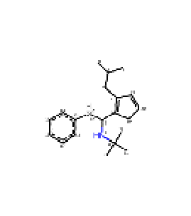 CC(C)CC1=C(C(NC(C)(C)C)[SiH2]c2ccccc2)CC=C1